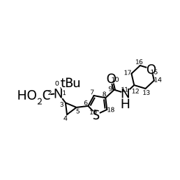 CC(C)(C)N(C(=O)O)C1CC1c1cc(C(=O)NC2CCOCC2)cs1